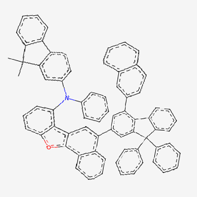 CC1(C)c2ccccc2-c2ccc(N(c3ccccc3)c3cccc4oc5c6ccccc6c(-c6cc(-c7ccc8ccccc8c7)c7c(c6)C(c6ccccc6)(c6ccccc6)c6ccccc6-7)cc5c34)cc21